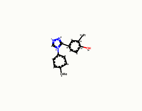 COc1ccc(-n2cnnc2-c2ccc(O)c(C(C)C)c2)cc1